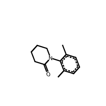 Cc1cccc(C)c1N1CCCCC1=O